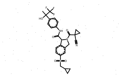 CC(O)(c1ccc(NC(=O)C2c3ccc(S(=O)(=O)CC4CC4)cc3CN2C(=O)C2(C#N)CC2)cc1)C(F)(F)F